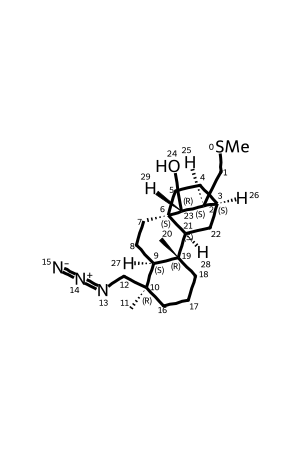 CSC[C@H]1[C@H]2CC[C@@]3(CC[C@@H]4[C@](C)(CN=[N+]=[N-])CCC[C@@]4(C)[C@@H]3C2)[C@@H]1O